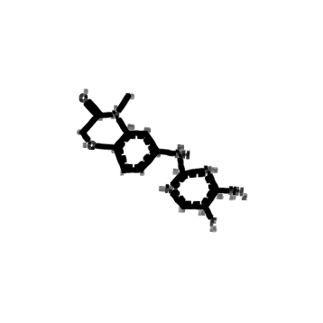 CN1C(=O)COc2ccc(Nc3ncc(F)c(N)n3)cc21